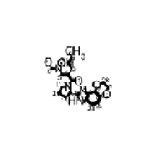 CCCC[C@H](CN(O)C=O)C(=O)N1CCC[C@H]1c1nc2c3c(ccc2[nH]1)OCCO3